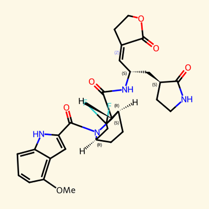 COc1cccc2[nH]c(C(=O)N3[C@@H]4CC[C@H]([C@H]3C(=O)N[C@H](/C=C3/CCOC3=O)C[C@@H]3CCNC3=O)C(F)(F)C4)cc12